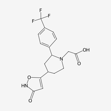 O=C(O)CN1CCC(c2cc(=O)[nH]o2)CC1c1ccc(C(F)(F)F)cc1